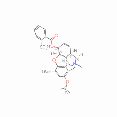 CN1CC[C@]23c4c5c(O[SiH](C)C)cc(C(C)(C)C)c4O[C@H]2[C@@H](OC(=O)c2ccccc2C(=O)O)C=C[C@H]3[C@H]1C5